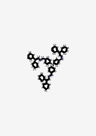 C(/C=C\c1ccc(N(c2ccc(/C=C/C=C(c3ccccc3)c3ccccc3)cc2)c2ccc(/C=C/C=C(c3ccccc3)c3ccccc3)cc2)cc1)=C(c1ccccc1)c1ccccc1